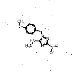 CNc1nc([N+](=O)[O-])nn1Cc1ccc(OC)cc1